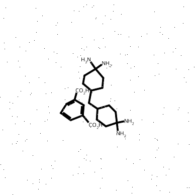 NC1(N)CCC(CC2CCC(N)(N)CC2)CC1.O=C(O)c1cccc(C(=O)O)c1